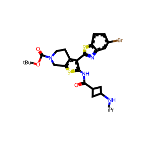 CC(C)NC1CC(C(=O)Nc2sc3c(c2-c2nc4cc(Br)ccc4s2)CCN(C(=O)OC(C)(C)C)C3)C1